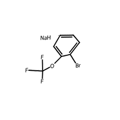 FC(F)(F)Oc1c[c]ccc1Br.[NaH]